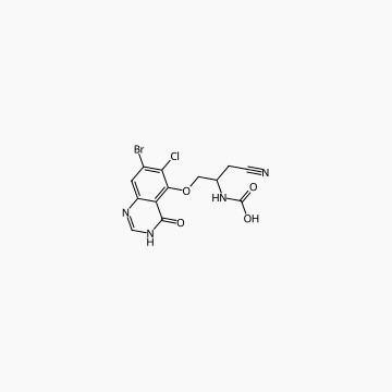 N#CCC(COc1c(Cl)c(Br)cc2nc[nH]c(=O)c12)NC(=O)O